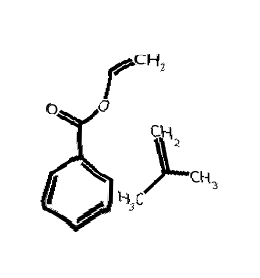 C=C(C)C.C=COC(=O)c1ccccc1